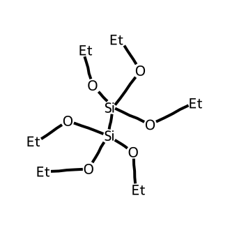 CCO[Si](OCC)(OCC)[Si](OCC)(OCC)OCC